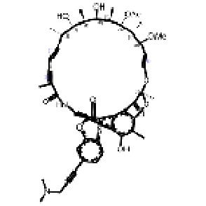 CO[C@H]1/C=C/O[C@@]2(C)Oc3c(C)c(O)c4c(=O)c(c5oc6cc(C#CCN(C)C)ccc6nc-5c4c3C2=O)NC(=O)/C(C)=C\C=C\[C@H](C)[C@H](O)[C@@H](C)[C@@H](O)[C@@H](C)[C@H](OC(C)=O)[C@@H]1C